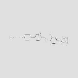 O=C(O)N1CCC(c2ccc(COc3ccc(-n4cnnn4)cc3F)nc2)CC1